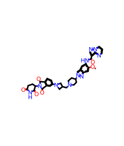 COc1cc2nn(C3CCN(CC4CN(c5ccc6c(c5)C(=O)N(C5CCC(=O)NC5=O)C6=O)C4)CC3)cc2cc1NC(=O)c1cnn2cccnc12